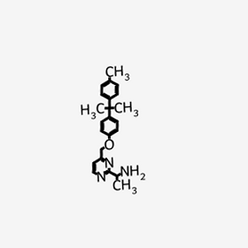 Cc1ccc(C(C)(C)c2ccc(OCc3ccnc(C(C)N)n3)cc2)cc1